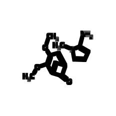 COc1cc2cc(c1OC)C2=O.Cn1cccc1N